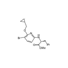 COC(=O)[C@H](CC(C)C)Nc1ccc(Br)c(OCC2CC2)n1